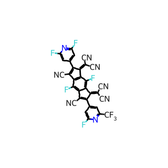 N#CC(C#N)=C1C(c2cc(F)nc(F)c2)=C(C#N)c2c(F)c3c(c(F)c21)C(=C(C#N)C#N)C(c1cc(F)nc(C(F)(F)F)c1)=C3C#N